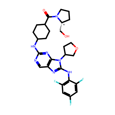 O=C(C1CCC(Nc2ncc3nc(Nc4c(F)cc(F)cc4F)n(C4CCOC4)c3n2)CC1)N1CCC[C@@H]1CO